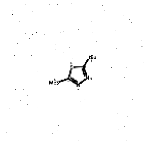 CSc1nnc(C(C)(C)C)s1